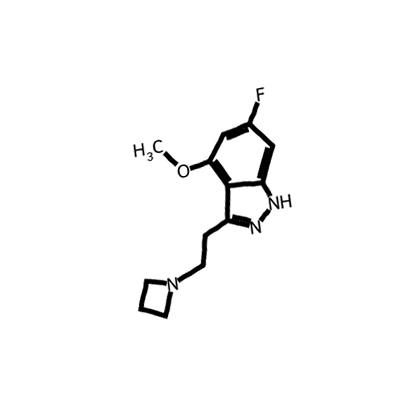 COc1cc(F)cc2[nH]nc(CCN3CCC3)c12